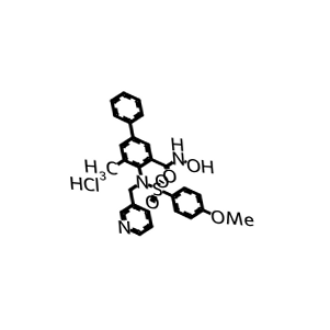 COc1ccc(S(=O)(=O)N(Cc2cccnc2)c2c(C)cc(-c3ccccc3)cc2C(=O)NO)cc1.Cl